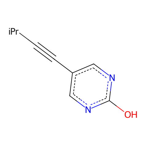 CC(C)C#Cc1cnc(O)nc1